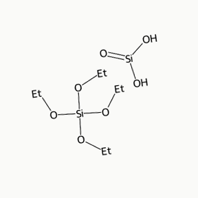 CCO[Si](OCC)(OCC)OCC.O=[Si](O)O